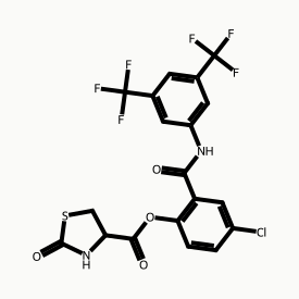 O=C1NC(C(=O)Oc2ccc(Cl)cc2C(=O)Nc2cc(C(F)(F)F)cc(C(F)(F)F)c2)CS1